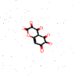 O=C1C=C2OC(=O)C(=O)C(=O)C2C(=O)C1=O